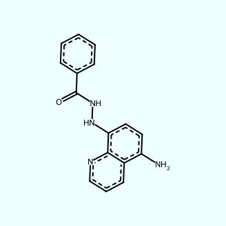 Nc1ccc(NNC(=O)c2ccccc2)c2ncccc12